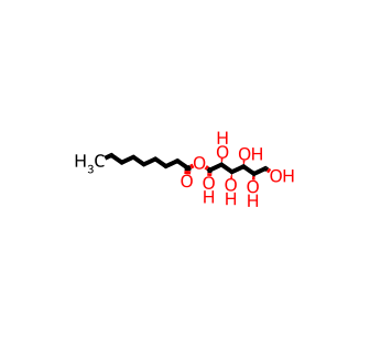 CCCCCCCCC(=O)OC(O)[C@H](O)[C@@H](O)[C@H](O)[C@H](O)CO